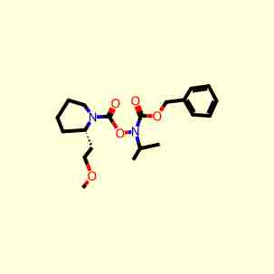 COCC[C@@H]1CCCCN1C(=O)ON(C(=O)OCc1ccccc1)C(C)C